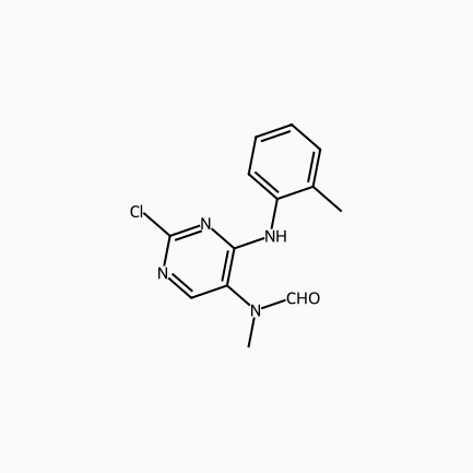 Cc1ccccc1Nc1nc(Cl)ncc1N(C)C=O